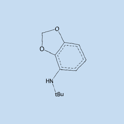 CC(C)(C)Nc1cccc2c1OCO2